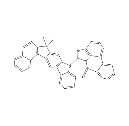 CC1(C)c2cc3c(cc2-c2c1ccc1ccccc21)c1ccccc1n3-c1nc2cccc3c4ccccc4c(=O)n1c23